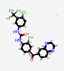 O=C(Nc1ccc(Cl)c(C(F)(F)F)c1)Nc1ccc(C(=O)c2ccc3nccnc3c2)cc1F